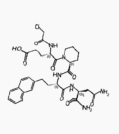 NC(=O)C[C@H](NC(=O)[C@H](CCc1ccc2ccccc2c1)NC(=O)[C@@H]1CCCCN1C(=O)[C@H](CCC(=O)O)NC(=O)CCl)C(N)=O